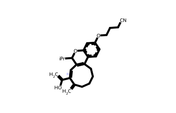 C=C(O)/C1=C/C2=C(CCCCC1=C)c1ccc(OCCCC#N)cc1OC2C(C)C